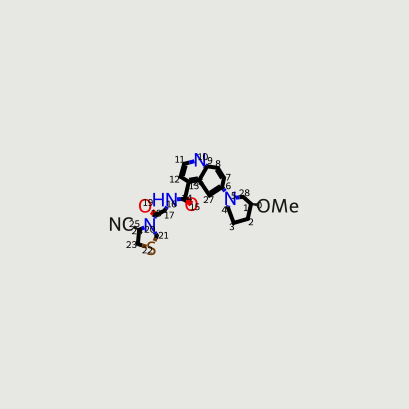 CO[C@H]1CCCN(c2ccc3nccc(C(=O)NCC(=O)N4CSC[C@H]4C#N)c3c2)C1